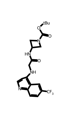 CC(C)(C)OC(=O)N1CC(NC(=O)CNc2ccnc3ccc(C(F)(F)F)cc23)C1